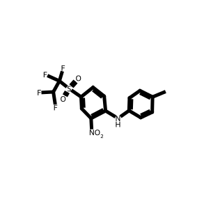 Cc1ccc(Nc2ccc(S(=O)(=O)C(F)(F)C(F)F)cc2[N+](=O)[O-])cc1